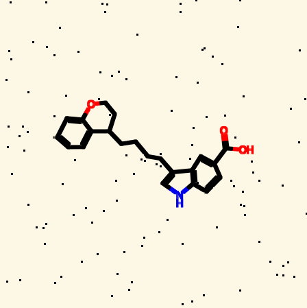 O=C(O)c1ccc2[nH]cc(CCCCC3CCOc4c[c]ccc43)c2c1